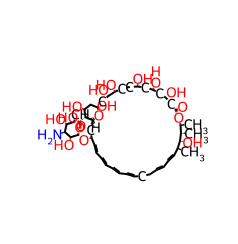 C[C@@H]1[C@H](O)[C@@H](C)/C=C/C=C/CC/C=C/C=C/C=C/C=C/[C@H](O[C@H]2O[C@H](C)[C@@H](O)[C@H](N)[C@@H]2O)C[C@@H]2O[C@](O)(C[C@@H](O)[C@H](O)CC[C@@H](O)C[C@@H](O)C[C@@H](O)CC(=O)O[C@H]1C)C[C@H](O)[C@H]2C(=O)O